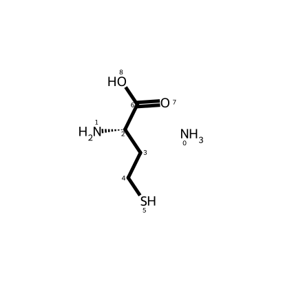 N.N[C@@H](CCS)C(=O)O